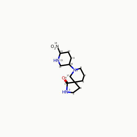 O=C1NCCC12CCCN(C1CCC([N+](=O)[O-])NC1)C2